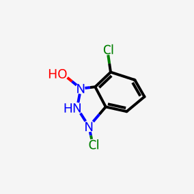 ON1NN(Cl)c2cccc(Cl)c21